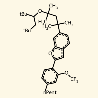 CCCCCc1ccc(-c2cc3ccc(C(C)(C)CC(C)(C)OC(CC(C)(C)C)C(C)(C)C)cc3o2)c(OC(F)(F)F)c1